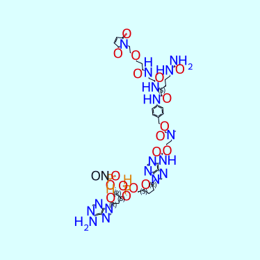 CN(CCOC(=O)Nc1ncnc2c1ncn2[C@H]1CC[C@@H](CO[PH](=O)O[C@H]2C[C@H](n3cnc4c(N)ncnc43)O[C@@H]2CO[PH](=O)N=O)O1)C(=O)OCc1ccc(NC(=O)[C@H](CCCNC(N)=O)NC(=O)CNC(=O)CCOCCN2C(=O)C=CC2=O)cc1